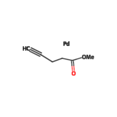 C#CCCC(=O)OC.[Pd]